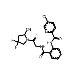 N#CC1CC(F)(F)CN1C(=O)CNC(=O)c1ccncc1NC(=O)c1ccc(Cl)cn1